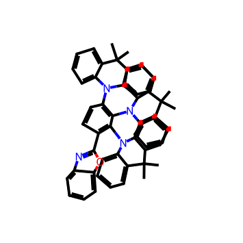 CC1(C)c2ccccc2N(c2ccc(-c3nc4ccccc4o3)c(N3c4ccccc4C(C)(C)c4ccccc43)c2N2c3ccccc3C(C)(C)c3ccccc32)c2ccccc21